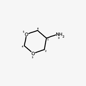 NC1COCOC1